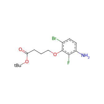 CC(C)(C)OC(=O)CCCOc1c(Br)ccc(N)c1F